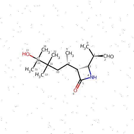 C[C@@H](C=O)C1NC(=O)[C@@H]1[C@@H](C)CC(C)(C)[Si](C)(C)O